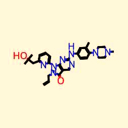 C=CCn1c(=O)c2cnc(Nc3ccc(N4CCN(C)CC4)c(C)c3)nc2n1-c1cccc(CC(C)(C)O)n1